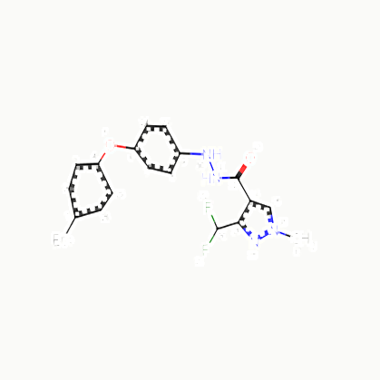 CCc1ccc(Oc2ccc(NNC(=O)c3cn(C)nc3C(F)F)cc2)cc1